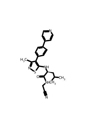 Cc1nsc(N[C@@H](CC(C)C)C(=O)NCC#N)c1-c1ccc(-c2ccncc2)cc1